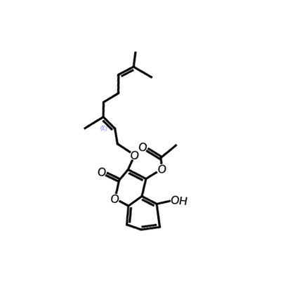 CC(=O)Oc1c(OC/C=C(\C)CCC=C(C)C)c(=O)oc2cccc(O)c12